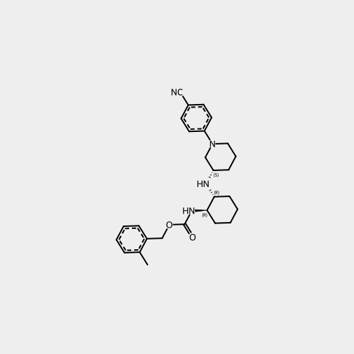 Cc1ccccc1COC(=O)N[C@@H]1CCCC[C@H]1N[C@H]1CCCN(c2ccc(C#N)cc2)C1